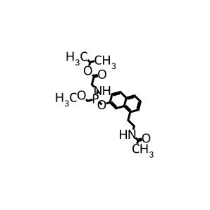 COCP(NCC(=O)OC(C)C)Oc1ccc2cccc(CCNC(C)=O)c2c1